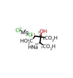 O=C(O)CC(O)(CC(=O)O)C(=O)O.[Cl][Mg][Cl].[NaH]